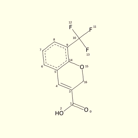 O=C(O)C1=Cc2cccc(C(F)(F)F)c2OC1